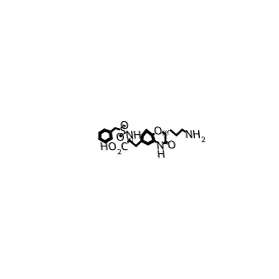 NCCC[C@H]1Oc2ccc(C[C@H](NS(=O)(=O)Cc3ccccc3)C(=O)O)cc2NC1=O